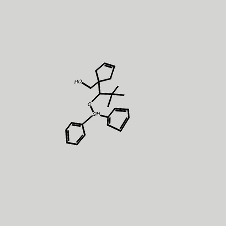 CC(C)(C)C(O[SiH](c1ccccc1)c1ccccc1)C1(CO)CC=CC1